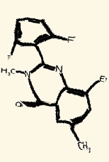 CCc1cc(C)cc2c(=O)n(C)c(-c3c(F)cccc3F)nc12